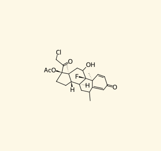 CC(=O)O[C@]1(C(=O)CCl)CC[C@H]2[C@@H]3CC(C)C4=CC(=O)C=C[C@]4(C)[C@@]3(F)C(O)C[C@@]21C